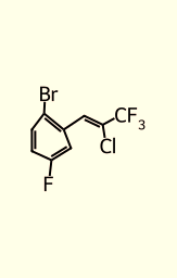 Fc1ccc(Br)c(C=C(Cl)C(F)(F)F)c1